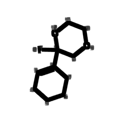 FC1(C2=CCCCC2)COCCO1